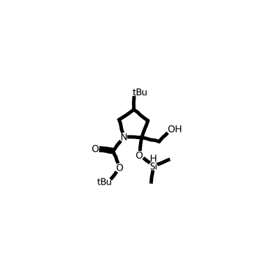 C[SiH](C)OC1(CO)CC(C(C)(C)C)CN1C(=O)OC(C)(C)C